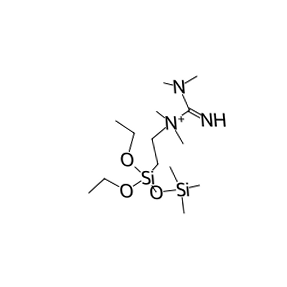 CCO[Si](CC[N+](C)(C)C(=N)N(C)C)(OCC)O[Si](C)(C)C